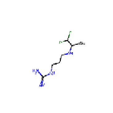 CC(C)(C)C(NCCCNC(=N)N)C(F)F